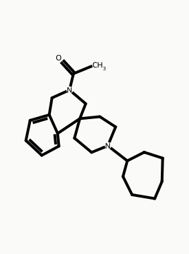 CC(=O)N1Cc2ccccc2C2(CCN(C3CCCCCC3)CC2)C1